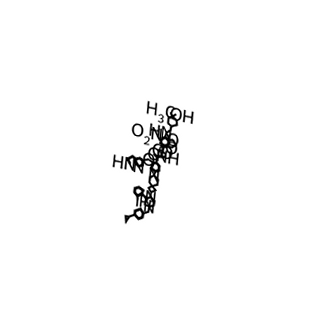 CC(C)c1ccccc1C1CN(Cc2ccc(C3CC3)cc2)CCN1C1CC2(CCN(c3ccc(C(=O)NS(=O)(=O)c4cc([N+](=O)[O-])c(NCC5CCC(C)(O)CC5)c5c4OCO5)c(Oc4cnc5[nH]ccc5c4)c3)CC2)C1